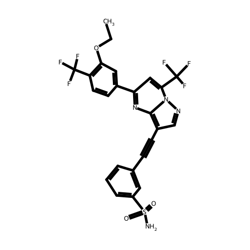 CCOc1cc(-c2cc(C(F)(F)F)n3ncc(C#Cc4cccc(S(N)(=O)=O)c4)c3n2)ccc1C(F)(F)F